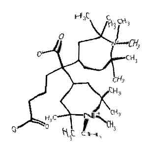 CC1(C)CC(C(CCCC(=O)[O-])(C(=O)[O-])C2CC(C)(C)[N+](C)(C)C(C)(C)C2)CC(C)(C)[N+]1(C)C